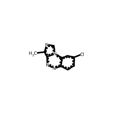 Cc1ncn2c1nnc1ccc(Cl)cc12